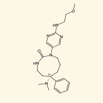 COCCNc1ncc(N2CCC[C@](c3ccccc3)(N(C)C)CCNC2=O)cn1